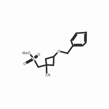 COS(=O)(=O)CC1(C#N)CC(OCc2ccccc2)C1